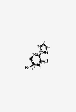 Clc1cc(Br)cnc1-n1nccn1